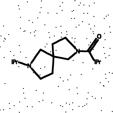 CC(C)C(=O)N1CCC2(CCN(C(C)C)C2)C1